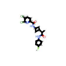 CC(C(=O)Nc1ccc(F)cc1)C12CC(NC(=O)c3ccc(Cl)c(Cl)n3)(C1)C2